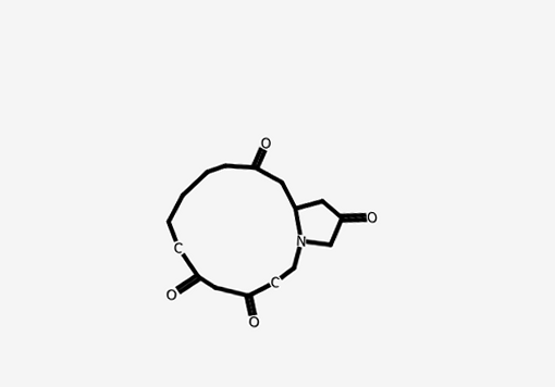 O=C1CCCCCC(=O)CC2CC(=O)CN2CCC(=O)C1